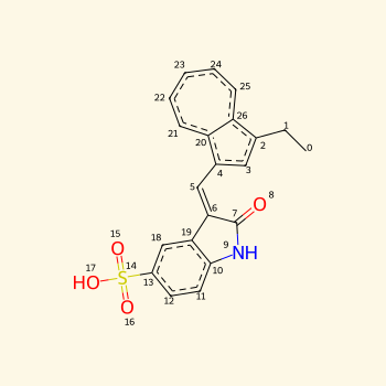 CCc1cc(/C=C2\C(=O)Nc3ccc(S(=O)(=O)O)cc32)c2cccccc1-2